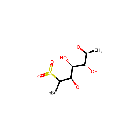 CCCCC([C@H](O)[C@H](O)[C@@H](O)[C@H](C)O)[SH](=O)=O